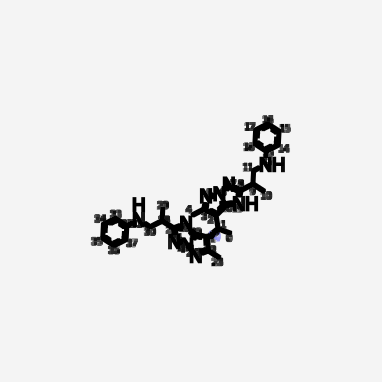 C/C(c1c(C)nn2nc(C(C)CNc3ccccc3)[nH]c12)=c1\c(C)nn2nc(C(C)CNc3ccccc3)nc12